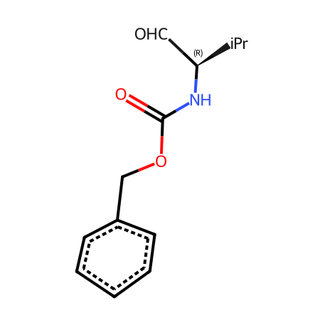 CC(C)[C@H](C=O)NC(=O)OCc1ccccc1